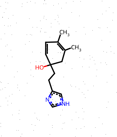 CC1=C(C)CC(O)(CCc2c[nH]cn2)C=C1